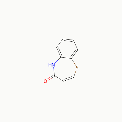 O=C1C=CSc2ccccc2N1